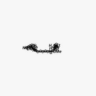 CC[C@@H]1C(=O)N(C)c2cnc(Nc3ccc(C(=O)NCCOCCOCCOCCOCCOC4CCN(c5ncc(C(=O)NC6C(C)(C)C(Oc7ccc(C#N)c(Cl)c7)C6(C)C)cn5)CC4)cc3OC)nc2N1C1CCCC1